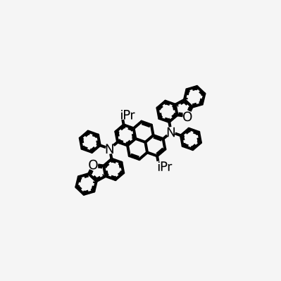 CC(C)C1=CC(N(c2ccccc2)c2cccc3c2oc2ccccc23)=C2C=Cc3c(C(C)C)cc(N(c4ccccc4)c4cccc5c4oc4ccccc45)c4c3C2C1C=C4